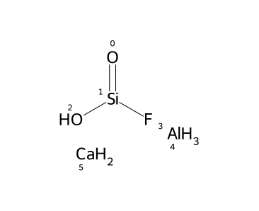 O=[Si](O)F.[AlH3].[CaH2]